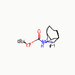 CC(C)(C)OC(=O)N[C@@H]1C2CCC1NC2